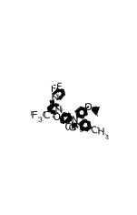 Cc1cc(Oc2ncc(CN3CCCC(F)(F)C3)cc2C(F)(F)F)ccc1N(C(=O)[C@H]1CC[C@H](C)CC1)[C@H]1CC[C@H](OC2CC2)CC1